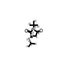 CC(C)SN1CC(=O)N(C(C)(C)C)C1=O